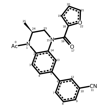 CC(=O)N1c2ccc(-c3cccc(C#N)c3)cc2N(C(=O)c2ccco2)C[C@@H]1C